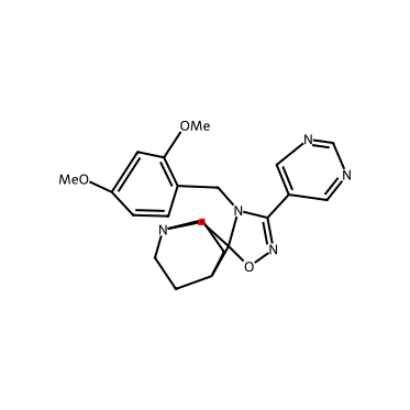 COc1ccc(CN2C(c3cncnc3)=NOC23CN2CCC3CC2)c(OC)c1